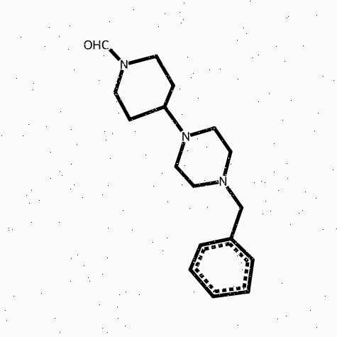 O=CN1CCC(N2CCN(Cc3ccccc3)CC2)CC1